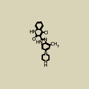 Cc1cc(N2CCNCC2)cc2[nH]c(-c3c(Cl)c4ccccc4[nH]c3=O)nc12